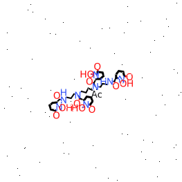 CC(=O)C(CCCN(CCCNC(=O)c1cccc(=O)n1O)C(=O)c1cccc(=O)n1O)N(CCCNC(=O)c1cccc(=O)n1O)C(=O)c1cccc(=O)n1O